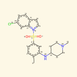 Cc1ccc(S(=O)(=O)n2ccc3ccc(Cl)cc32)cc1NC1CCN(C)CC1